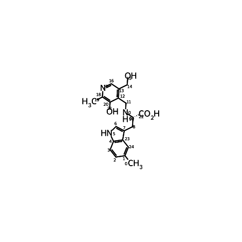 Cc1ccc2[nH]cc(C[C@H](NCc3c(CO)cnc(C)c3O)C(=O)O)c2c1